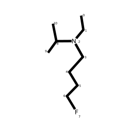 CCN(CCCCF)C(C)C